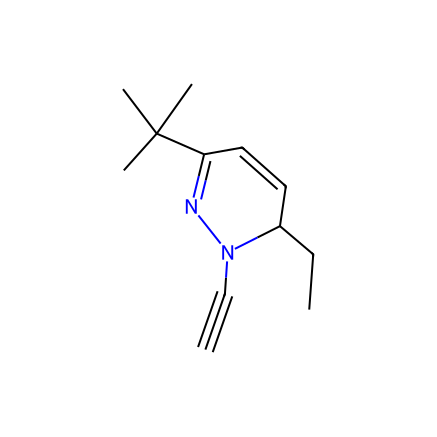 C#CN1N=C(C(C)(C)C)C=CC1CC